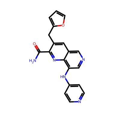 NC(=O)c1nc2c(Nc3ccncc3)cncc2cc1Cc1ccco1